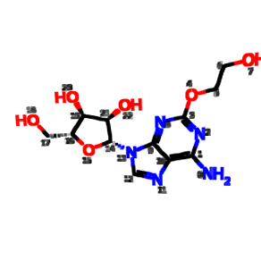 Nc1nc(OCCO)nc2c1ncn2[C@@H]1O[C@H](CO)[C@@H](O)[C@H]1O